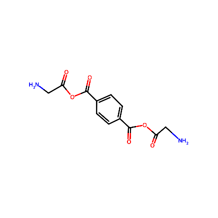 NCC(=O)OC(=O)c1ccc(C(=O)OC(=O)CN)cc1